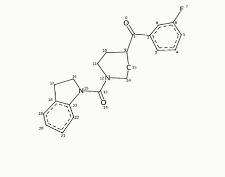 O=C(c1cccc(F)c1)C1CCN(C(=O)N2CCc3ccccc32)CC1